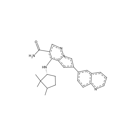 CC1CC[C@@H](Nc2c(C(N)=O)cnn3cc(-c4ccc5ncccc5c4)cc23)C1(C)C